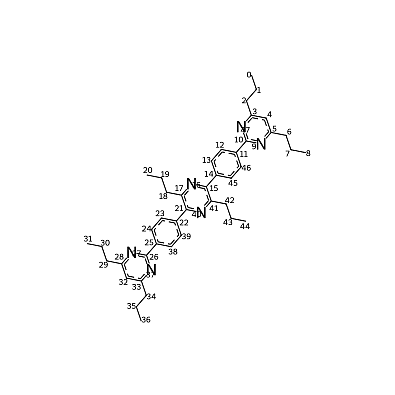 CCCc1cc(CCC)nc(-c2ccc(-c3nc(CCC)c(-c4ccc(-c5nc(CCC)cc(CCC)n5)cc4)nc3CCC)cc2)n1